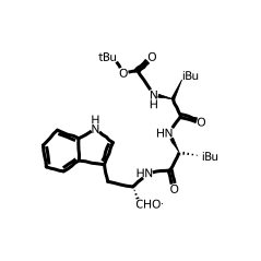 CC[C@H](C)[C@H](NC(=O)OC(C)(C)C)C(=O)N[C@H](C(=O)N[C@H]([C]=O)Cc1c[nH]c2ccccc12)[C@@H](C)CC